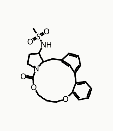 CS(=O)(=O)NC1CCN2C(=O)OCCCOc3ccccc3-c3cccc(c3)CC12